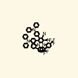 N#Cc1c(C#N)c(-n2c3ccccc3c3ccc(C(F)(F)F)cc32)c(-n2c3ccccc3c3ccc(C(F)(F)F)cc32)c(-c2ccc(N(c3ccccc3)c3ccccc3)cc2)c1-c1ccc(N(c2ccccc2)c2ccccc2)cc1